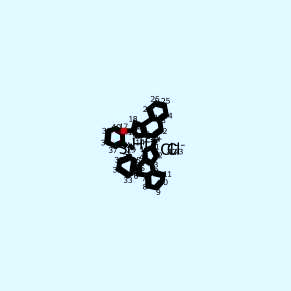 CC1=Cc2c(ccc3ccccc23)[CH]1[Hf+2]([CH]1C(C)=Cc2c1ccc1ccccc21)=[Si](c1ccccc1)c1ccccc1.[Cl-].[Cl-]